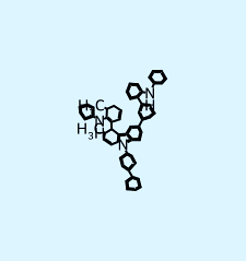 CC1CC=CC(C2c3c(n(-c4ccc(-c5ccccc5)cc4)c4ccc(-c5cccc(-c6ccccc6Nc6ccccc6)c5)cc34)C=CC2C)=C1Nc1ccccc1